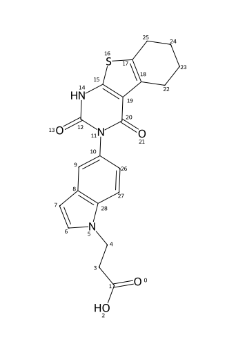 O=C(O)CCn1ccc2cc(-n3c(=O)[nH]c4sc5c(c4c3=O)CCCC5)ccc21